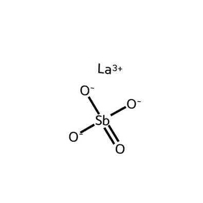 [La+3].[O]=[Sb]([O-])([O-])[O-]